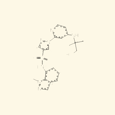 Cn1ncc2cccc(NS(=O)(=O)c3cnn(-c4cc(NC(C)(C)CO)ccn4)c3)c21